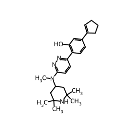 CN(c1ccc(-c2ccc(C3=CCCC3)cc2O)nn1)C1CC(C)(C)NC(C)(C)C1